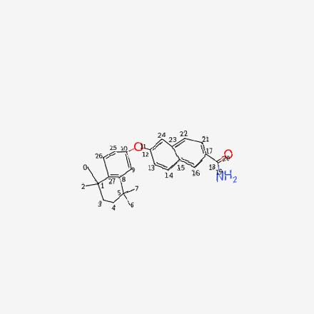 CC1(C)CCC(C)(C)c2cc(Oc3ccc4cc(C(N)=O)ccc4c3)ccc21